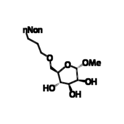 CCCCCCCCCCCCOC[C@H]1O[C@H](OC)[C@@H](O)[C@@H](O)[C@@H]1O